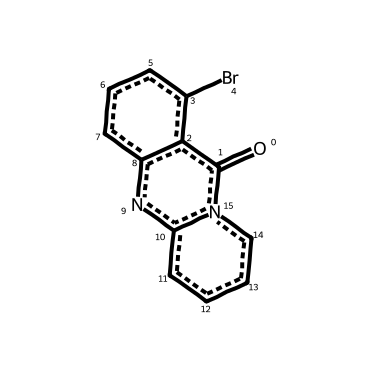 O=c1c2c(Br)cccc2nc2ccccn12